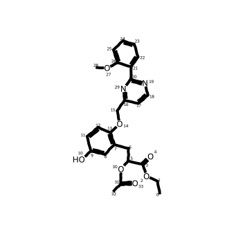 CCOC(=O)C(Cc1cc(O)ccc1OCc1ccnc(-c2ccccc2OC)n1)OC(C)=O